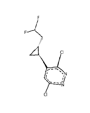 FC(F)C[C@H]1C[C@@H]1c1cc(Cl)nnc1Cl